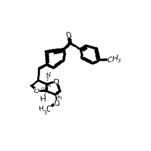 CO[C@@H]1CO[C@@H]2C(Cc3ccc(C(=O)c4ccc(C)cc4)cc3)CO[C@@H]21